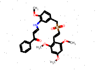 COc1cc(OC)c(/C=C/S(=O)(=O)Cc2ccc(OC)c(N/C=C/C(=O)c3ccccc3)c2)c(OC)c1